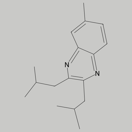 Cc1ccc2nc(CC(C)C)c(CC(C)C)nc2c1